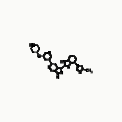 Cc1cn(-c2cccc3[nH]c(-c4n[nH]c5cnc(-c6cncc(OC7CCNCC7)c6)cc45)nc23)cn1